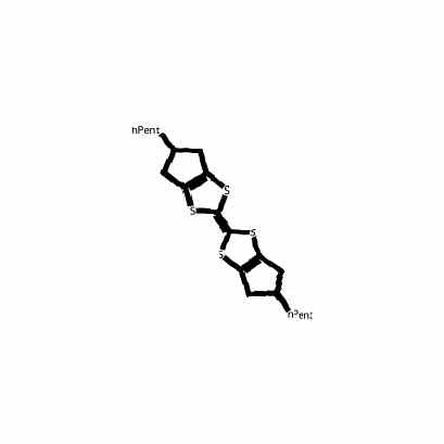 CCCCCC1CC2=C(C1)SC(=C1SC3=C(CC(CCCCC)C3)S1)S2